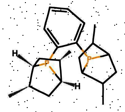 CC1CC2C(C)CC1P2c1ccccc1P1[C@@H]2C[C@H](C)[C@H]1C[C@@H]2C